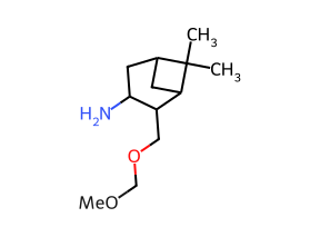 COCOCC1C(N)CC2CC1C2(C)C